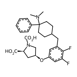 CN(C)C1(c2ccccc2)CCC(Cc2cc(O[C@H]3C[C@@H](C(=O)O)N(C(=O)O)C3)cc(F)c2F)CC1